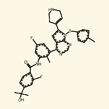 Cc1ccc(Sn2c(C3=CCNCC3)cc3c(-c4cc(F)cc(NC(=O)c5ccc(C(C)(C)O)cc5F)c4C)ncnc32)cc1